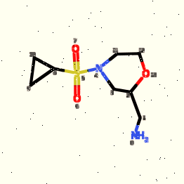 NCC1CN(S(=O)(=O)C2CC2)CCO1